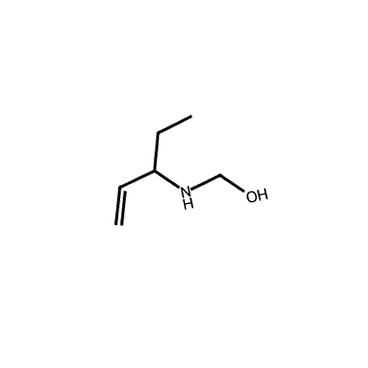 C=CC(CC)NCO